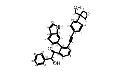 O=C(c1cccc(C#Cc2ccc(C3(CO)COC3)cc2)c1-c1ccc2cc[nH]c2c1)C(O)c1ccccc1